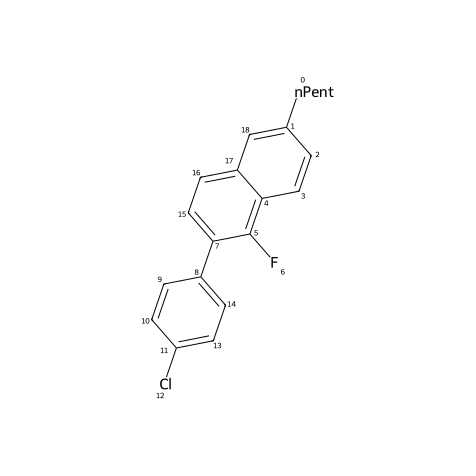 CCCCCc1ccc2c(F)c(-c3ccc(Cl)cc3)ccc2c1